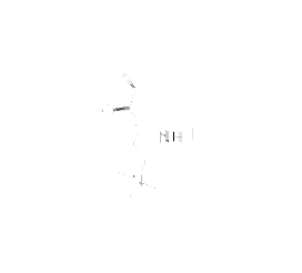 C=CC(=O)OCC[N+](C)(C)C.I.N.[I-]